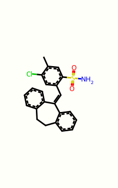 Cc1cc(S(N)(=O)=O)c(C=C2c3ccccc3CCc3ccccc32)cc1Cl